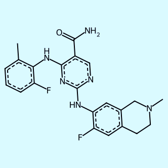 Cc1cccc(F)c1Nc1nc(Nc2cc3c(cc2F)CCN(C)C3)ncc1C(N)=O